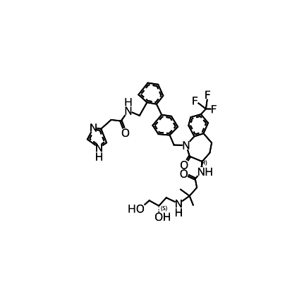 CC(C)(CC(=O)N[C@@H]1CCc2cc(C(F)(F)F)ccc2N(Cc2ccc(-c3ccccc3CNC(=O)Cc3c[nH]cn3)cc2)C1=O)NC[C@H](O)CO